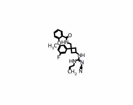 C=CCN/C(=N\C#N)NC1CC(CNC(=O)c2ccccc2OC)(c2cccc(F)c2)C1